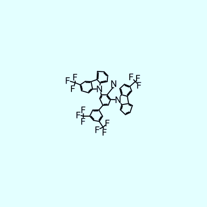 N#Cc1c(-n2c3ccccc3c3cc(C(F)(F)F)ccc32)cc(-c2cc(C(F)(F)F)cc(C(F)(F)F)c2)cc1-n1c2ccccc2c2cc(C(F)(F)F)ccc21